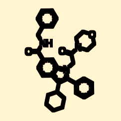 O=C(NCc1ccccc1)c1ccc2c(C3CCCCC3)c(-c3ccccc3)n(CC(=O)N3CCOCC3)c2c1